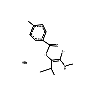 Br.CNC(Br)=C(OC(=O)c1ccc(Cl)cc1)C(C)C